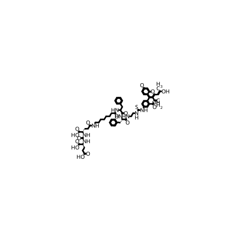 C=Cc1c(/C=C(\C)O)oc2cc(=O)ccc-2c1-c1ccc(NC(=S)NCCNC(=O)[C@H](Cc2ccccc2)NC(=O)C(Cc2ccccc2)NC(=O)CCCCCCCNC(=O)CC[C@H](NC(=O)N[C@@H](CCC(=O)O)C(=O)O)C(=O)O)cc1C(=O)O